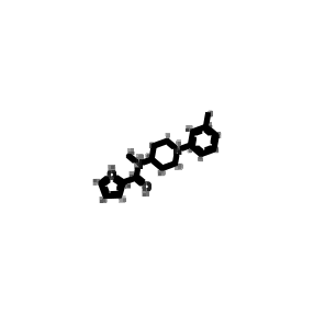 Cc1cccc(N2CCC(N(C)C(=O)c3ccco3)CC2)c1